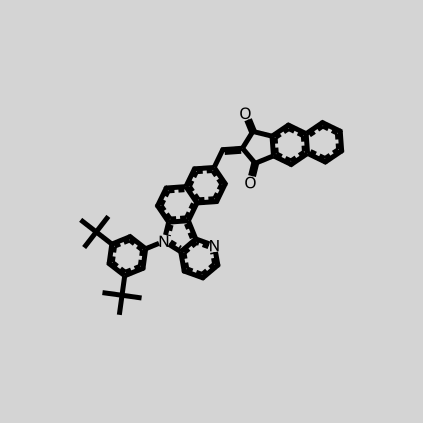 CC(C)(C)c1cc(-n2c3cccnc3c3c4ccc(C=C5C(=O)c6cc7ccccc7cc6C5=O)cc4ccc32)cc(C(C)(C)C)c1